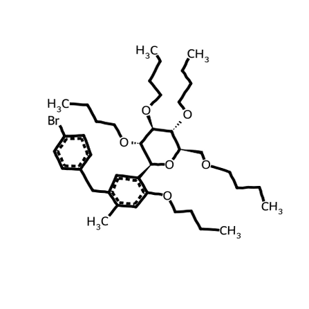 CCCCOC[C@H]1O[C@@H](c2cc(Cc3ccc(Br)cc3)c(C)cc2OCCCC)[C@H](OCCCC)[C@@H](OCCCC)[C@@H]1OCCCC